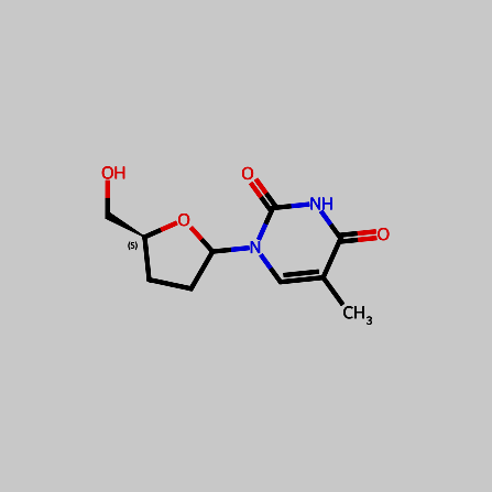 Cc1cn(C2CC[C@@H](CO)O2)c(=O)[nH]c1=O